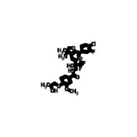 COc1cc(C(=O)NCC(O)(c2cc3c(c(-c4ccc(Cl)c(F)c4)n2)OCC3(C)N)C(F)(F)F)ccc1OCC(C)O